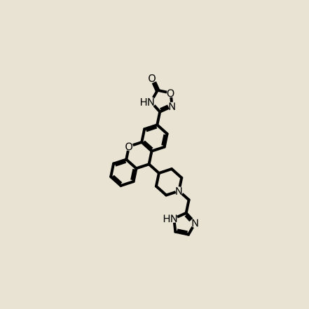 O=c1[nH]c(-c2ccc3c(c2)Oc2ccccc2C3C2CCN(Cc3ncc[nH]3)CC2)no1